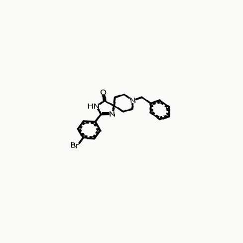 O=C1NC(c2ccc(Br)cc2)=NC12CCN(Cc1ccccc1)CC2